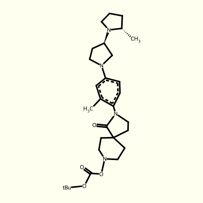 Cc1cc(N2CC[C@@H](N3CCC[C@@H]3C)C2)ccc1N1CCC2(CCN(OC(=O)OC(C)(C)C)CC2)C1=O